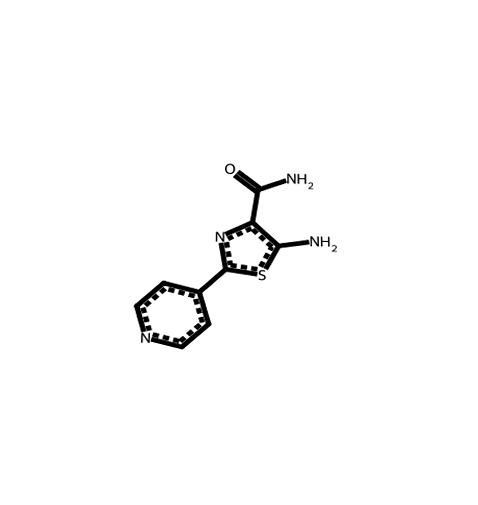 NC(=O)c1nc(-c2ccncc2)sc1N